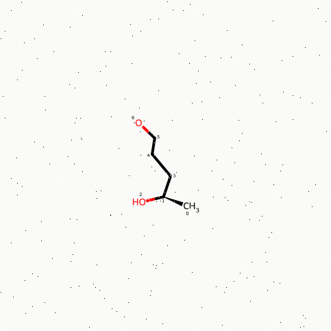 C[C@@H](O)CCC[O]